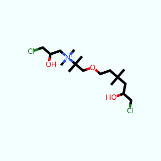 CC(C)(CCOCC(C)(C)[N+](C)(C)CC(O)CCl)CC(O)CCl